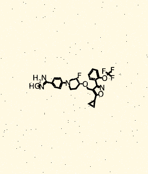 N/C(=N\O)c1ccc(N2CC[C@H](OCc3c(-c4ccccc4OC(F)(F)F)noc3C3CC3)[C@@H](F)C2)cc1